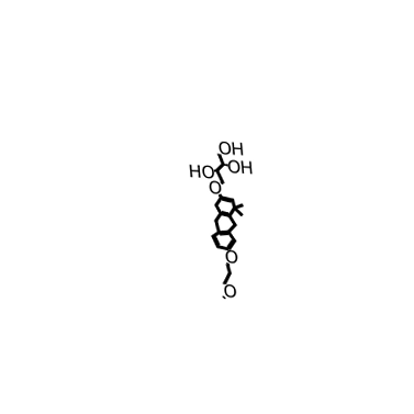 COCCCOc1ccc2c(c1)CC1=C(CC(OC[C@@H](O)[C@H](O)CO)=CC1(C)C)C2